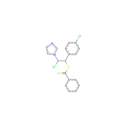 S=C(SC(c1ccc(Cl)cc1)C(Cl)n1ccnc1)c1ccccc1